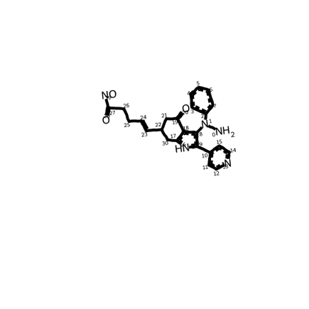 NN(c1ccccc1)c1c(-c2ccncc2)[nH]c2c1C(=O)CC(C=CCCC(=O)N=O)C2